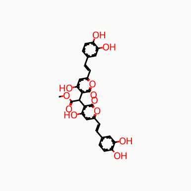 COC(=O)C(c1c(O)cc(C=Cc2ccc(O)c(O)c2)oc1=O)c1c(O)cc(C=Cc2ccc(O)c(O)c2)oc1=O